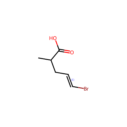 CC(C/C=C/Br)C(=O)O